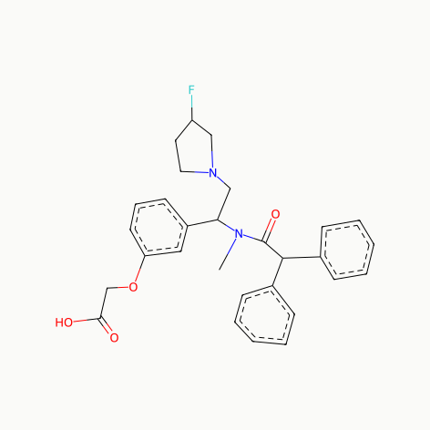 CN(C(=O)C(c1ccccc1)c1ccccc1)C(CN1CCC(F)C1)c1cccc(OCC(=O)O)c1